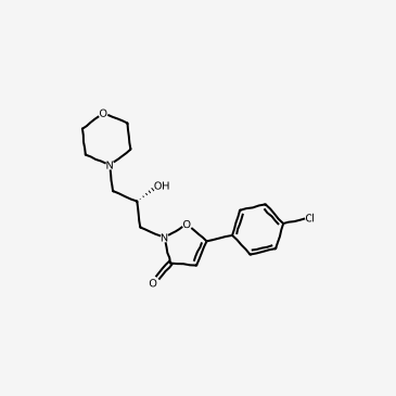 O=c1cc(-c2ccc(Cl)cc2)on1C[C@@H](O)CN1CCOCC1